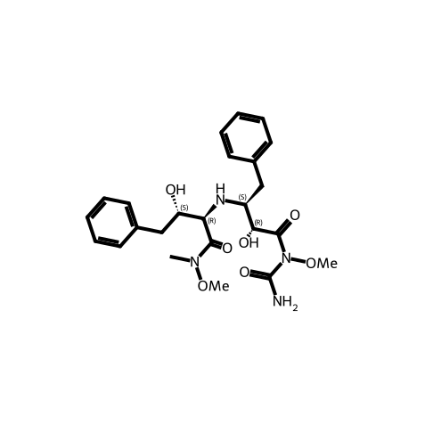 CON(C)C(=O)[C@H](N[C@@H](Cc1ccccc1)[C@@H](O)C(=O)N(OC)C(N)=O)[C@@H](O)Cc1ccccc1